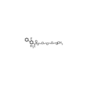 COCCOCCOCCOCCOC(=O)C(C)c1ccc(-c2ccccc2)c(F)c1